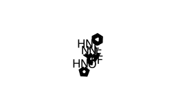 O=C(NC1CCCC1)C1=C(C(F)(F)F)N(F)C(Nc2ccccc2)N=C1